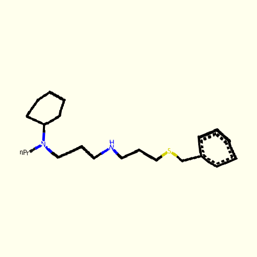 CCCN(CCCNCCCSCc1ccccc1)C1CCCCC1